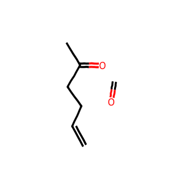 C=CCCC(C)=O.C=O